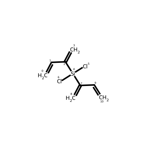 C=CC(=C)[Si](Cl)(Cl)C(=C)C=C